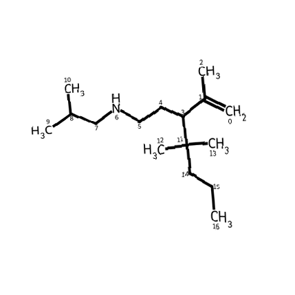 C=C(C)C(CCNCC(C)C)C(C)(C)CCC